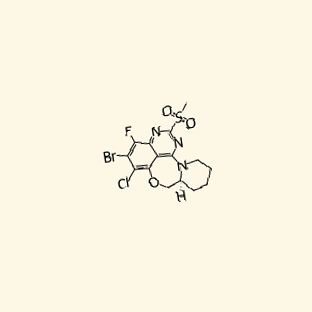 CS(=O)(=O)c1nc2c3c(c(Cl)c(Br)c(F)c3n1)OC[C@@H]1CCCCN21